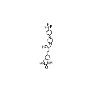 O=C1NCc2cc(C=CC(O)CN3CCN(c4ccc(C(F)(F)F)cc4)CC3)ccc2N1